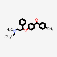 CCOC(=O)CN(C)CCC(Oc1ccc(C(=O)c2ccc(C)cc2)cc1)c1ccccc1